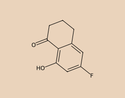 O=C1CCCc2cc(F)cc(O)c21